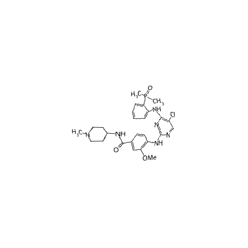 COc1cc(C(=O)NC2CCN(C)CC2)ccc1Nc1ncc(Cl)c(Nc2ccccc2P(C)(C)=O)n1